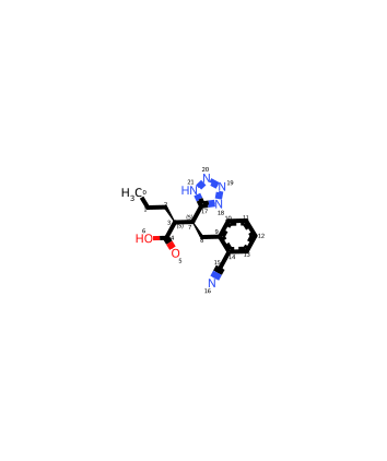 CCC[C@H](C(=O)O)[C@H](Cc1ccccc1C#N)c1nnn[nH]1